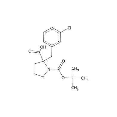 CC(C)(C)OC(=O)N1CCCC1(Cc1cccc(Cl)c1)C(=O)O